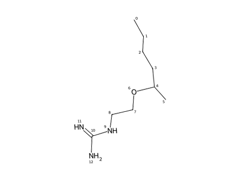 CCCCC(C)OCCNC(=N)N